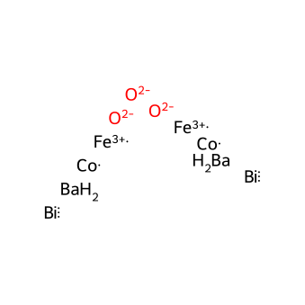 [BaH2].[BaH2].[Bi].[Bi].[Co].[Co].[Fe+3].[Fe+3].[O-2].[O-2].[O-2]